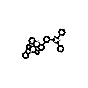 c1ccc(-c2nc(-c3ccccc3)nc(-c3cccc(-c4cccc5c4Oc4ccccc4C54c5ccccc5-n5c6ccccc6c6cccc4c65)c3)n2)cc1